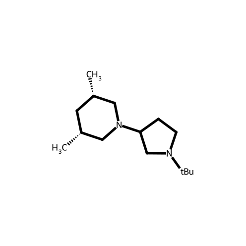 C[C@@H]1C[C@H](C)CN(C2CCN(C(C)(C)C)C2)C1